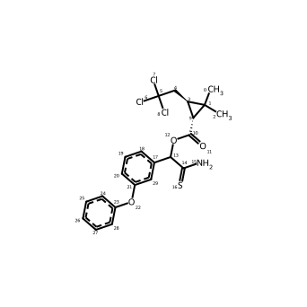 CC1(C)[C@H](CC(Cl)(Cl)Cl)[C@H]1C(=O)OC(C(N)=S)c1cccc(Oc2ccccc2)c1